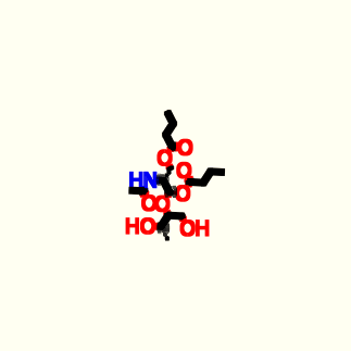 CCCC(=O)OC[C@@H](NC(C)=O)[C@H](OC(=O)CCC)OC(CO)[C@H](C)O